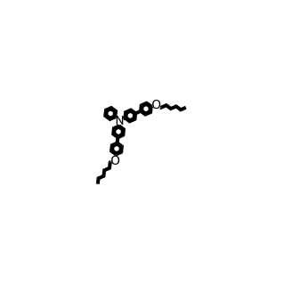 CCCCCCOc1ccc(-c2ccc(N(c3ccccc3)c3ccc(-c4ccc(OCCCCCC)cc4)cc3)cc2)cc1